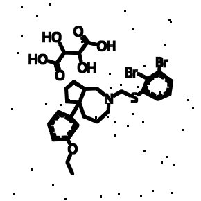 CCOc1cccc(C23CCCC2CN(CSc2cccc(Br)c2Br)CCC3)c1.O=C(O)C(O)C(O)C(=O)O